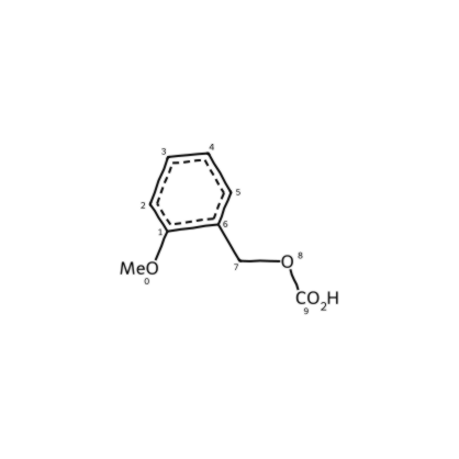 COc1ccccc1COC(=O)O